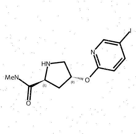 CNC(=O)[C@@H]1C[C@@H](Oc2ccc(I)cn2)CN1